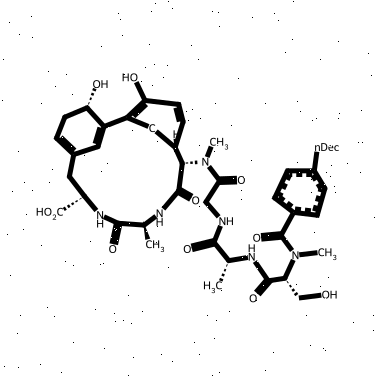 CCCCCCCCCCc1ccc(C(=O)N(C)[C@H](CO)C(=O)N[C@H](C)C(=O)NCC(=O)N(C)[C@@H]2C(=O)N[C@@H](C)C(=O)N[C@H](C(=O)O)CC3=CC[C@H](O)C(=C3)C3=C(O)C=C[C@H]2C3)cc1